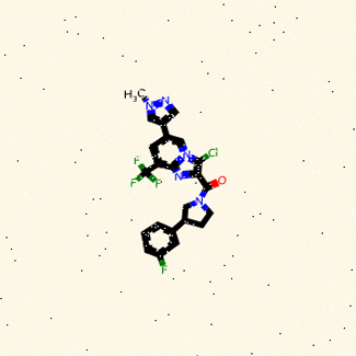 Cn1cc(-c2cc(C(F)(F)F)c3nc(C(=O)N4CCC(c5cccc(F)c5)C4)c(Cl)n3c2)cn1